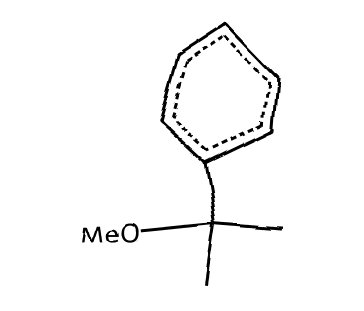 COC(C)(C)c1ccccc1